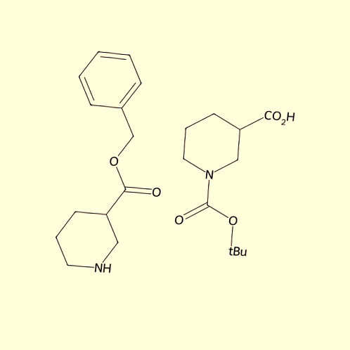 CC(C)(C)OC(=O)N1CCCC(C(=O)O)C1.O=C(OCc1ccccc1)C1CCCNC1